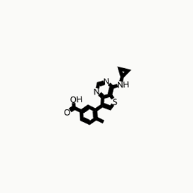 Cc1ccc(C(=O)O)cc1-c1csc2c(NC3CC3)ncnc12